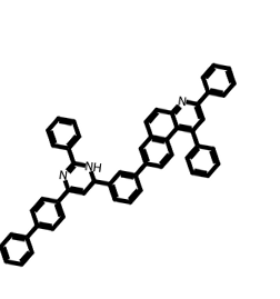 C1=C(c2ccc(-c3ccccc3)cc2)N=C(c2ccccc2)NC1c1cccc(-c2ccc3c(ccc4nc(-c5ccccc5)cc(-c5ccccc5)c43)c2)c1